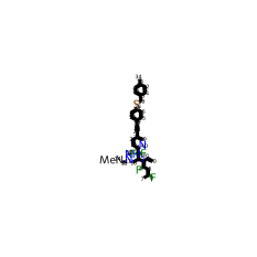 C=C/C(=C(F)\C=C(/C)F)C(CN(N)CNC)C(F)(F)c1ccc(C#Cc2ccc(SCc3ccc(C)cc3)cc2)cn1